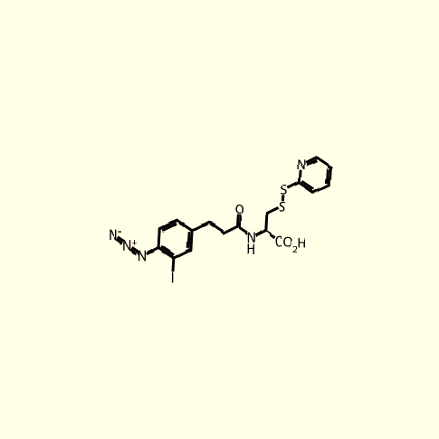 [N-]=[N+]=Nc1ccc(CCC(=O)N[C@@H](CSSc2ccccn2)C(=O)O)cc1I